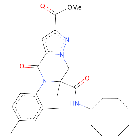 COC(=O)c1cc2n(n1)CC(C)(C(=O)NC1CCCCCCC1)N(c1ccc(C)cc1C)C2=O